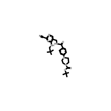 CC(C)(C)CNc1nc(C#N)ncc1CNC(=O)c1ccc(N2CCN(C(=O)OC(C)(C)C)CC2)cc1